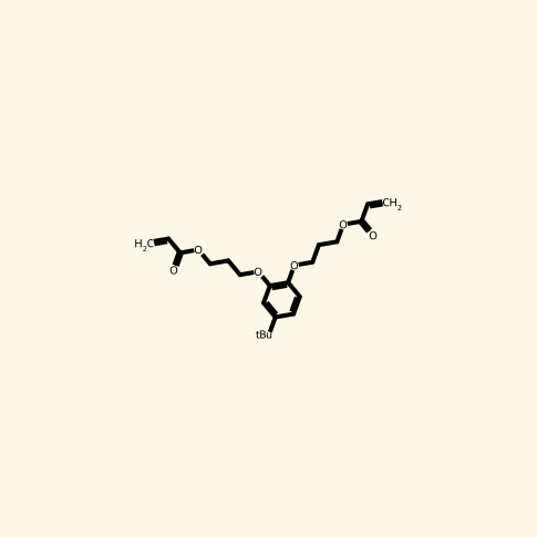 C=CC(=O)OCCCOc1ccc(C(C)(C)C)cc1OCCCOC(=O)C=C